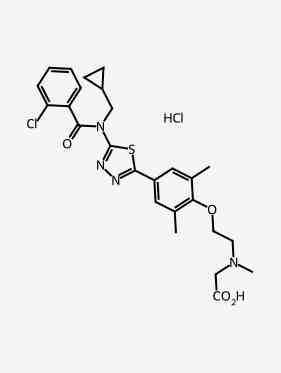 Cc1cc(-c2nnc(N(CC3CC3)C(=O)c3ccccc3Cl)s2)cc(C)c1OCCN(C)CC(=O)O.Cl